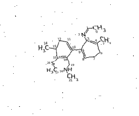 C/C=N\C1=C(C)CCC=C1C1=CCC(C)C(SC)=C1CNC